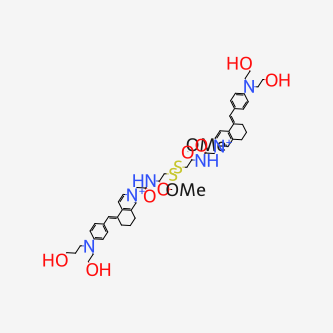 COOC(CSSCC(NC(=O)C[n+]1ccc2c(c1)CCC/C2=C\c1ccc(N(CCO)CCCO)cc1)OOC)NC(=O)C[n+]1ccc2c(c1)CCC/C2=C\c1ccc(N(CCO)CCO)cc1